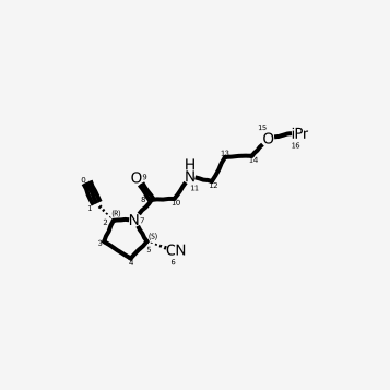 C#C[C@H]1CC[C@@H](C#N)N1C(=O)CNCCCOC(C)C